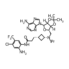 CC(C)N(C[C@H]1OC(n2cnc3c(N)ncnc32)[C@@H]2OC(C)(C)O[C@H]12)[C@H]1C[C@@H](CCC(=O)Nc2cc(C(F)(F)F)c(Cl)cc2N)C1